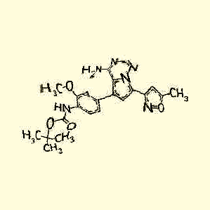 COc1cc(-c2cc(-c3cc(C)on3)n3ncnc(N)c23)ccc1NC(=O)OC(C)(C)C